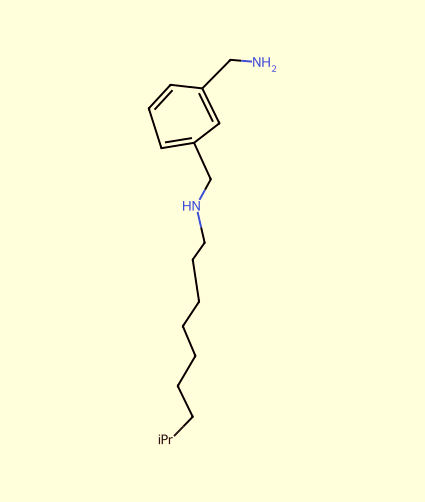 CC(C)CCCCCCCNCc1cccc(CN)c1